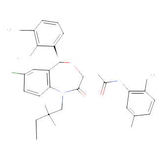 COc1ccc(C(=O)O)cc1NC(=O)C[C@H]1O[C@H](c2cccc(OC)c2OC)c2cc(Cl)ccc2N(CC(C)(C)COC(C)=O)C1=O